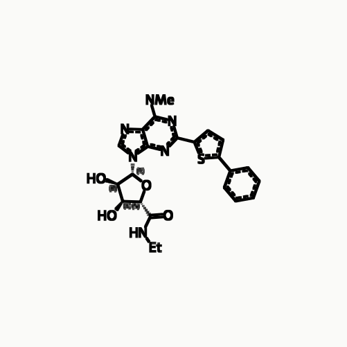 CCNC(=O)[C@H]1O[C@@H](n2cnc3c(NC)nc(-c4ccc(-c5ccccc5)s4)nc32)[C@H](O)[C@@H]1O